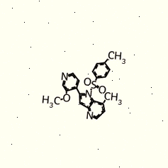 COc1cnccc1-c1cc2nccc(C)c2n1S(=O)(=O)c1ccc(C)cc1